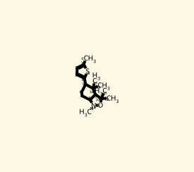 Cc1ccc(C2CCC3C(C(C)(C)ON3C)C2(C)C)s1